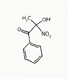 CC(O)(C(=O)c1ccccc1)[N+](=O)[O-]